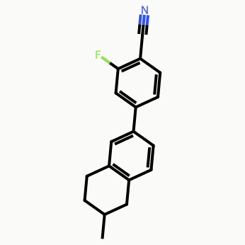 CC1CCc2cc(-c3ccc(C#N)c(F)c3)ccc2C1